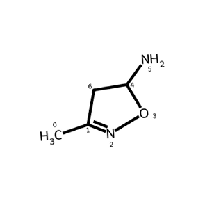 CC1=NOC(N)C1